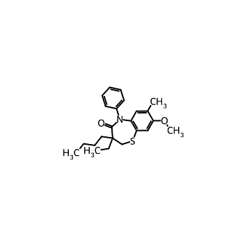 CCCCC1(CC)CSc2cc(OC)c(C)cc2N(c2ccccc2)C1=O